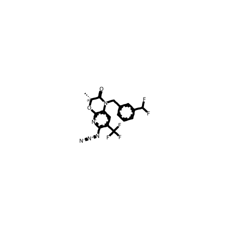 C[C@H]1Oc2nc(N=[N+]=[N-])c(C(F)(F)F)cc2N(Cc2cccc(C(F)F)c2)C1=O